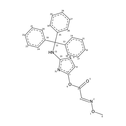 CON=CC(=O)Oc1csc(NC(c2ccccc2)(c2ccccc2)c2ccccc2)n1